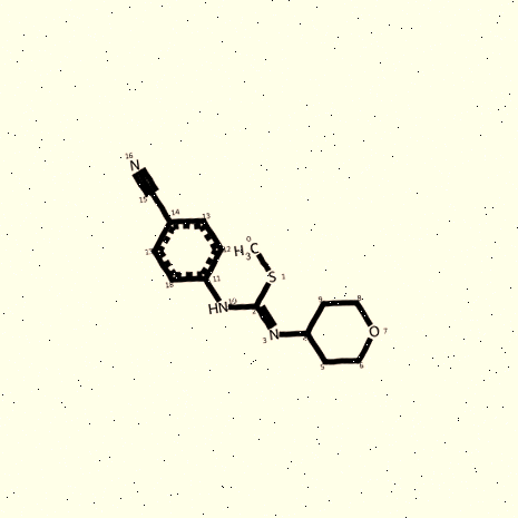 CSC(=NC1CCOCC1)Nc1ccc(C#N)cc1